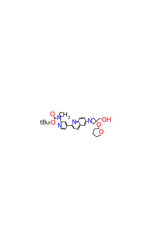 CN(C(=O)OC(C)(C)C)c1cc(-c2ccc3cc(N4CC(CO)(OC5CCCCO5)C4)ccc3n2)ccn1